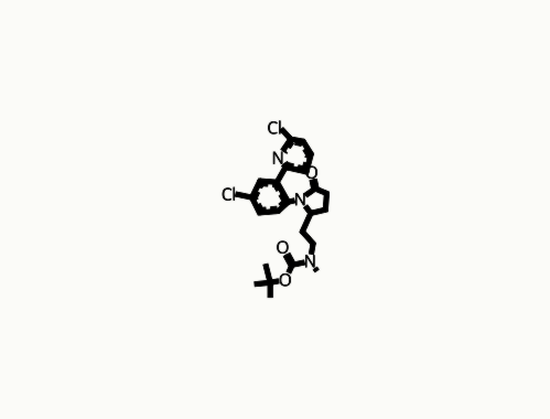 CN(CCC1CCC(=O)N1c1ccc(Cl)cc1-c1cccc(Cl)n1)C(=O)OC(C)(C)C